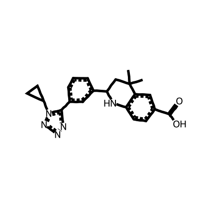 CC1(C)CC(c2cccc(-c3nnnn3C3CC3)c2)Nc2ccc(C(=O)O)cc21